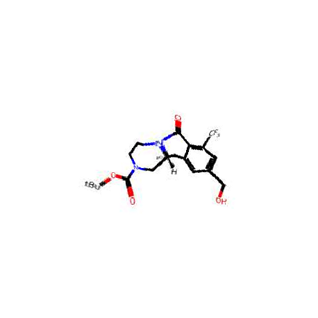 CC(C)(C)OC(=O)N1CCN2C(=O)c3c(cc(CO)cc3C(F)(F)F)[C@@H]2C1